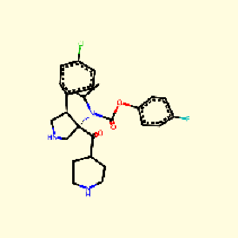 CC(C)N(C(=O)Oc1ccc(F)cc1)[C@]1(C(=O)C2CCNCC2)CNC[C@H]1c1ccc(Cl)cc1